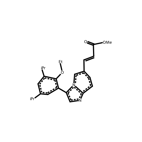 CCOc1c(-c2cnc3ccc(C=CC(=O)OC)cn23)cc(C(C)C)cc1C(C)C